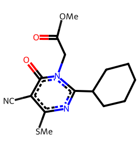 COC(=O)Cn1c(C2CCCCC2)nc(SC)c(C#N)c1=O